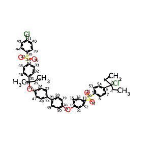 CCC(Cl)(CC)c1ccc(S(=O)(=O)c2ccc(Oc3ccc(-c4ccc(OC(C)(CC)c5ccc(S(=O)(=O)c6ccc(Cl)cc6)cc5)cc4)cc3)cc2)cc1